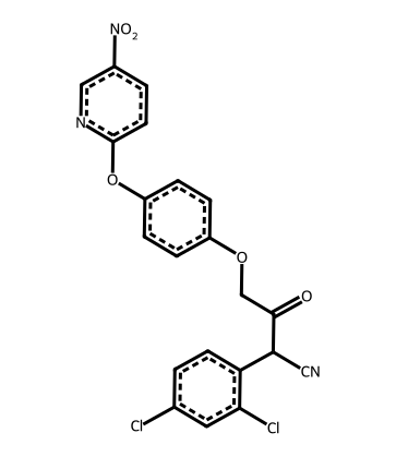 N#CC(C(=O)COc1ccc(Oc2ccc([N+](=O)[O-])cn2)cc1)c1ccc(Cl)cc1Cl